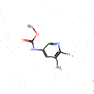 CC(C)(C)OC(=O)Nc1cnc(C(F)(F)F)c([N+](=O)[O-])c1